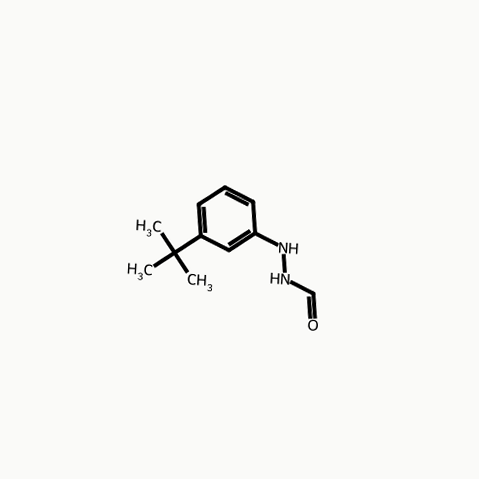 CC(C)(C)c1cccc(NNC=O)c1